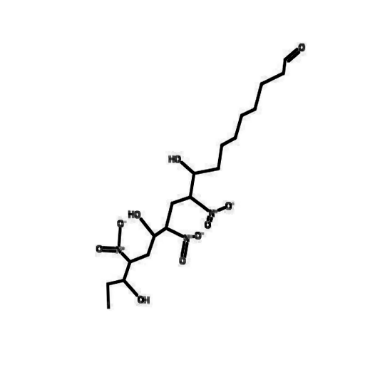 CCC(O)C(CC(O)C(CC(C(O)CCCCCCCC=O)[N+](=O)[O-])[N+](=O)[O-])[N+](=O)[O-]